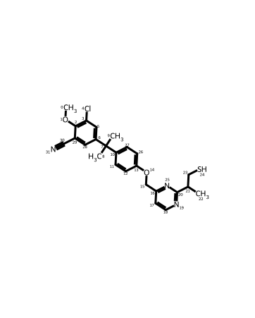 COc1c(Cl)cc(C(C)(C)c2ccc(OCc3ccnc(C(C)CS)n3)cc2)cc1C#N